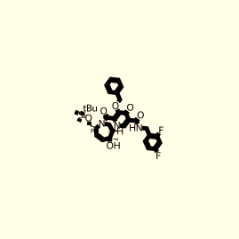 CC(C)(C)[Si](C)(C)OC[C@H]1C=C[C@](C)(O)[C@H]2CN1C(=O)c1c(OCc3ccccc3)c(=O)c(C(=O)NCc3ccc(F)cc3F)cn12